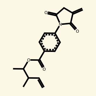 C=CC(C)C(C)OC(=O)c1ccc(N2C(=O)CC(=C)C2=O)cc1